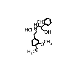 COc1ccc(CCNC(C)C(CO)c2ccccc2)cc1OC.Cl